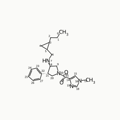 CCCC1CC1CN[C@H]1CN(S(=O)(=O)c2cn(C)cn2)C[C@@H]1c1ccccc1